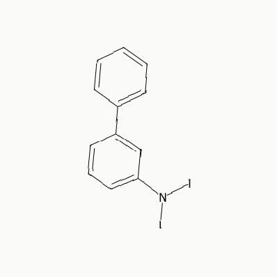 IN(I)c1cccc(-c2ccccc2)c1